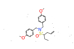 C=CCC(CC)[S+]([O-])N(Cc1ccc(OC)cc1)Cc1ccc(OC)cc1